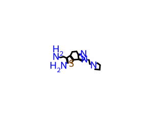 NCCc1c(N)sc2c1CCc1nn(CCN3CCCC3)cc1-2